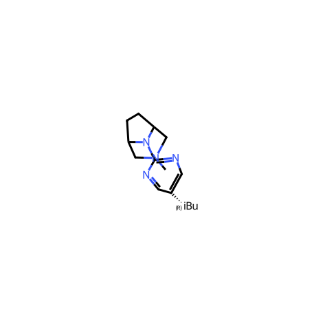 CC[C@@H](C)c1cnc(N2C3CCC2CN(C)C3)nc1